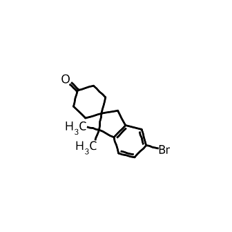 CC1(C)c2ccc(Br)cc2CC12CCC(=O)CC2